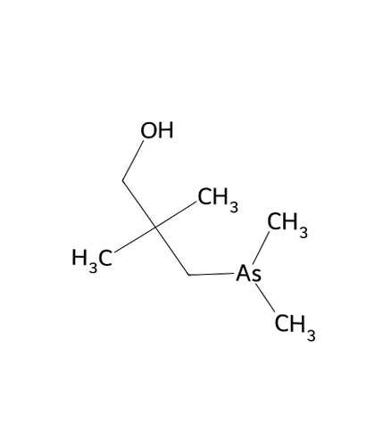 C[As](C)CC(C)(C)CO